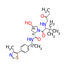 CCC(=O)CNC(C(=O)N1C[C@H](O)C[C@H]1C(=O)N[C@@H](C)c1ccc(-c2scnc2C)cc1)C(C)(C)C